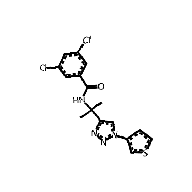 CC(C)(NC(=O)c1cc(Cl)cc(Cl)c1)c1cn(-c2ccsc2)nn1